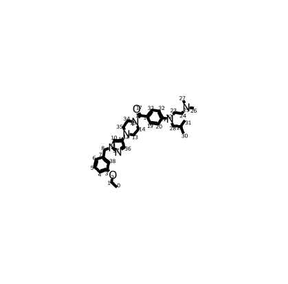 CCOc1cccc(Cn2cc(N3CCN(C(=O)c4ccc(N(CCN(C)C)CC(C)C)cc4)CC3)cn2)c1